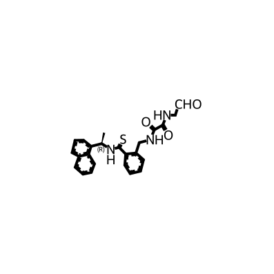 C[C@@H](NC(=S)c1ccccc1CNC(=O)C(=O)NCC=O)c1cccc2ccccc12